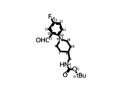 CC(C)(C)OC(=O)NCC1CCN(c2ccc(F)cc2C=O)CC1